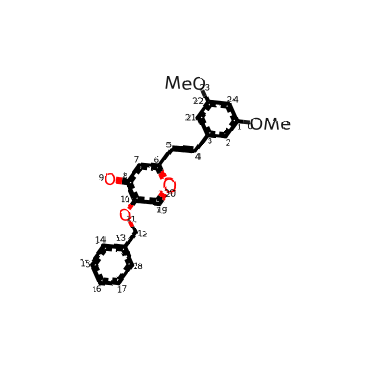 COc1cc(C=Cc2cc(=O)c(OCc3ccccc3)co2)cc(OC)c1